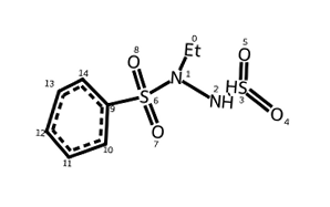 CCN(N[SH](=O)=O)S(=O)(=O)c1ccccc1